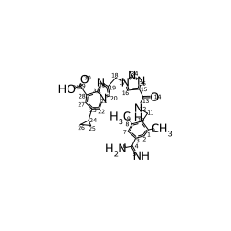 Cc1cc(C(=N)N)cc(C)c1CNC(=O)c1cn(Cc2cn3cc(C4CC4)cc(C(=O)O)c3n2)nn1